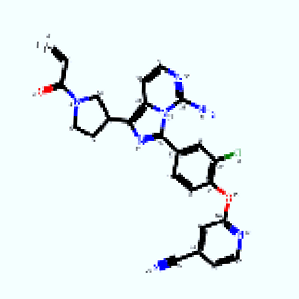 C=CC(=O)N1CCC(c2nc(-c3ccc(Oc4cc(C#N)ccn4)c(Cl)c3)n3c(N)nccc23)C1